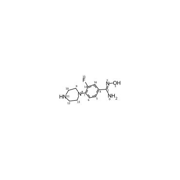 N/C(=N\O)c1ccc(N2CCNCC2)c(F)c1